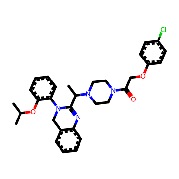 CC(C)Oc1ccccc1N1Cc2ccccc2N=C1C(C)N1CCN(C(=O)COc2ccc(Cl)cc2)CC1